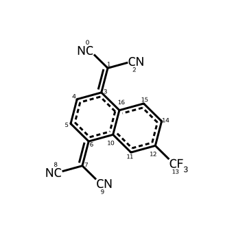 N#CC(C#N)=c1ccc(=C(C#N)C#N)c2cc(C(F)(F)F)ccc12